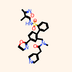 Cc1noc(NS(=O)(=O)c2ccccc2-c2ccc(-c3ncco3)cc2CN(C)C(=O)Cc2ccncc2)c1C